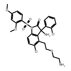 COc1ccc(S(=O)(=O)N2C(=O)C(N)(c3ccccc3Cl)c3c2ccc(Cl)c3CCOCCN)c(OC)c1